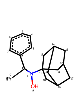 CC(C)C(c1ccccc1)N(O)C12CC3CC(CC(C3)C1)C2